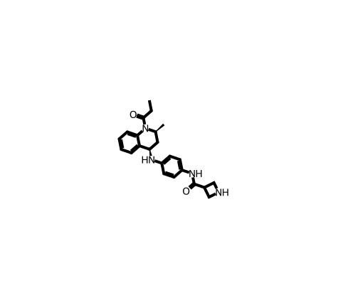 CCC(=O)N1c2ccccc2[C@H](Nc2ccc(NC(=O)C3CNC3)cc2)C[C@@H]1C